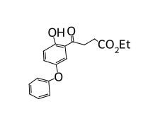 CCOC(=O)CCC(=O)c1cc(Oc2ccccc2)ccc1O